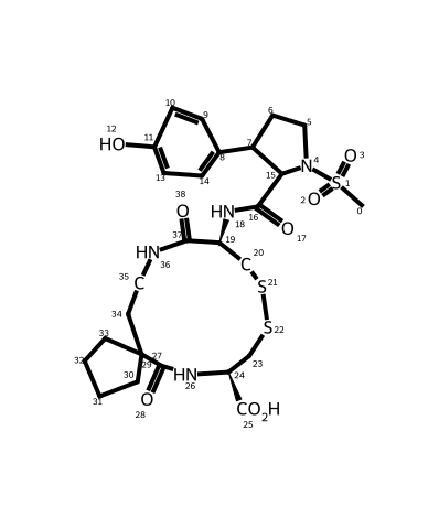 CS(=O)(=O)N1CCC(c2ccc(O)cc2)C1C(=O)N[C@H]1CSSC[C@@H](C(=O)O)NC(=O)C2(CCCC2)CCNC1=O